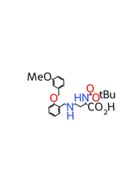 COc1cccc(COc2ccccc2CNCCC(NC(=O)OC(C)(C)C)C(=O)O)c1